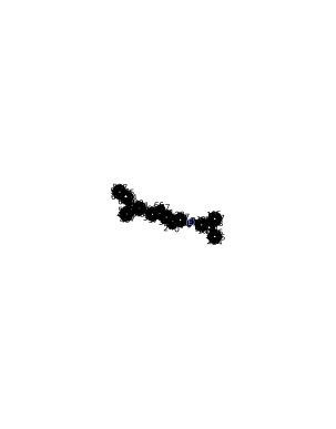 CC1(C)c2cc(/C=C/c3ccc4c(c3)c3ccccc3n4-c3ccccc3)ccc2-c2cc3c(cc21)-c1ccc(-c2ccc4c(c2)c2ccccc2n4-c2ccc4ccccc4c2)cc1C3(C)C